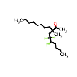 CCCCCCCCC(C)(CC(F)(F)C(F)CCCC)C(C)=O